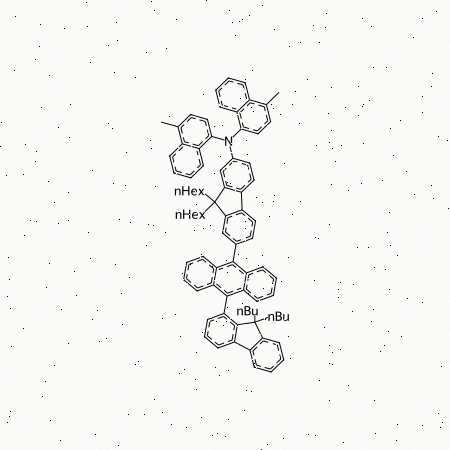 CCCCCCC1(CCCCCC)c2cc(-c3c4ccccc4c(-c4cccc5c4C(CCCC)(CCCC)c4ccccc4-5)c4ccccc34)ccc2-c2ccc(N(c3ccc(C)c4ccccc34)c3ccc(C)c4ccccc34)cc21